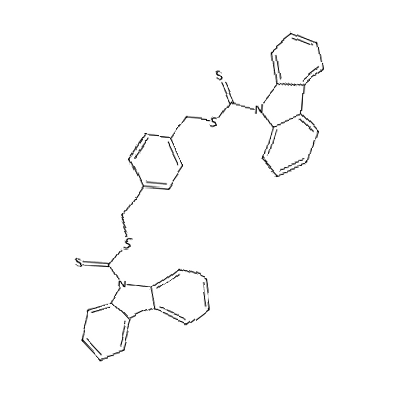 S=C(SCc1ccc(CSC(=S)n2c3ccccc3c3ccccc32)cc1)n1c2ccccc2c2ccccc21